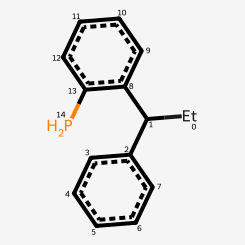 CCC(c1ccccc1)c1ccccc1P